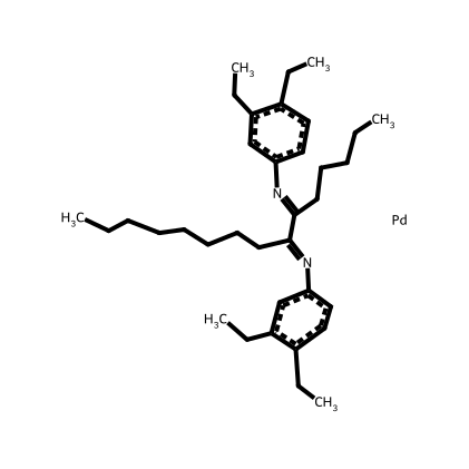 CCCCCCCCC(=Nc1ccc(CC)c(CC)c1)C(CCCCC)=Nc1ccc(CC)c(CC)c1.[Pd]